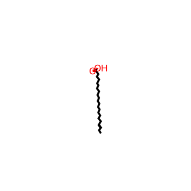 CCC=CCCCCCCCCCCCCCCCCCC(=O)O